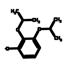 CC(C)Oc1cccc([O])c1OC(C)C